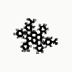 CC(C)C1=CCC(N(C2=CCCC=C2)c2cc(-c3ccccc3)c3ccc4c(N(c5ccccc5)c5ccc(C(C)C)cc5)cc(-c5ccccc5)c5ccc2c3c54)C=C1